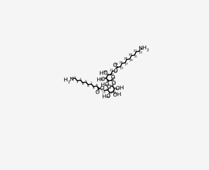 NCCCCCCCCCC(=O)OCC1O[C@H](O[C@H]2OC(COC(=O)CCCCCCCCCN)[C@@H](O)[C@H](O)C2O)[C@H](O)C(O)[C@@H]1O